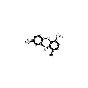 COc1ccc(Br)cc1Sc1ccc(C#N)cc1C